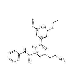 CCCCC[C@H](CN(O)C=O)C(=O)N[C@@H](CCCCN)C(=O)Nc1ccccc1